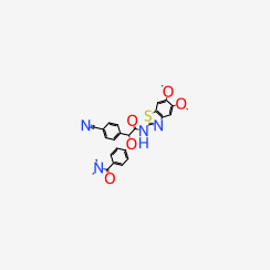 COc1cc2nc(NC(=O)C(Oc3ccc(C(=O)N(C)C)cc3)c3ccc(C#N)cc3)sc2cc1OC